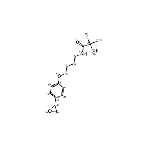 O=C(NCCCCOc1ccc(C2CO2)cc1)C(F)(F)S